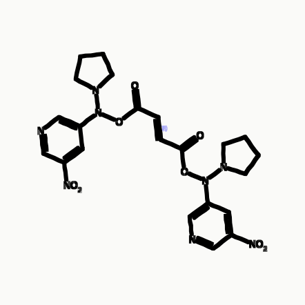 O=C(/C=C/C(=O)ON(c1cncc([N+](=O)[O-])c1)N1CCCC1)ON(c1cncc([N+](=O)[O-])c1)N1CCCC1